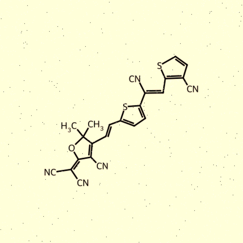 [C-]#[N+]/C(=C\c1sccc1C#N)c1ccc(/C=C/C2=C(C#N)C(=C(C#N)C#N)OC2(C)C)s1